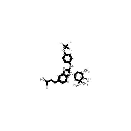 C[C@H]1C[C@@H](n2c(Nc3ccc(OC(F)(F)F)cc3)nc3cc(CCC(=O)O)ccc32)CC(C)(C)[C@@H]1O